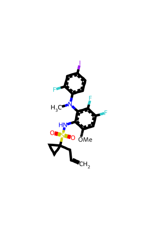 C=CCC1(S(=O)(=O)Nc2c(OC)cc(F)c(F)c2N(C)c2ccc(I)cc2F)CC1